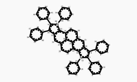 c1ccc(-c2c(-c3ccccc3)n(-c3ccccc3)c3c2cc2ccc4c5c(ccc3c25)cc2c(-c3ccccc3)c(-c3ccccc3)n(-c3ccccc3)c24)cc1